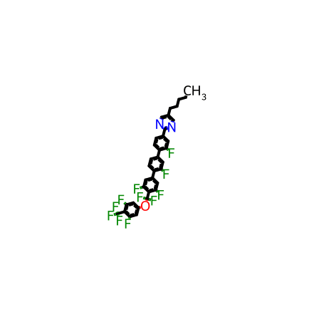 CCCCCc1cnc(-c2ccc(-c3ccc(-c4cc(F)c(C(F)(F)Oc5cc(F)c(C(F)(F)F)c(F)c5)c(F)c4)c(F)c3)c(F)c2)nc1